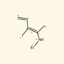 C=C/C(I)=C(\C)NCC